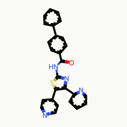 O=C(Nc1nc(-c2ccccn2)c(-c2ccncc2)s1)c1ccc(-c2ccccc2)cc1